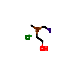 C[S+](CI)CCO.[Cl-]